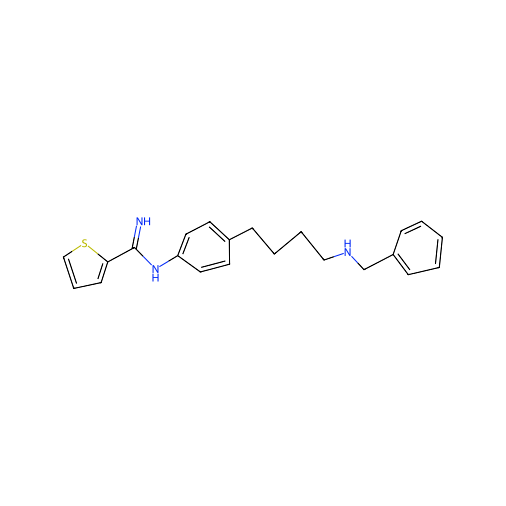 N=C(Nc1ccc(CCCCNCc2ccccc2)cc1)c1cccs1